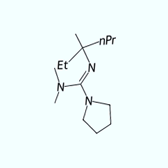 CCCC(C)(CC)N=C(N(C)C)N1CCCC1